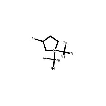 [2H]C([2H])([2H])[Si]1(C([2H])([2H])[2H])CCC(CC)C1